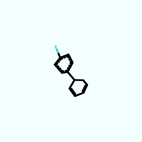 Fc1ccc(C2C=C[C]=CC2)cc1